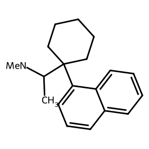 CNC(C)C1(c2cccc3ccccc23)CCCCC1